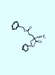 NC(CCC(=O)OCc1ccccc1)(OCc1ccccc1)C(=O)O